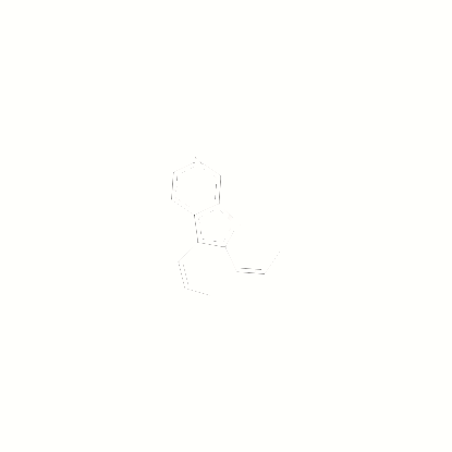 C/C=C\c1sc2cnccc2c1/C=C\C